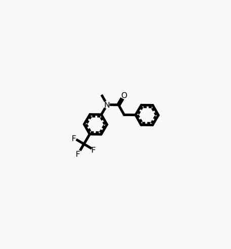 CN(C(=O)Cc1ccccc1)c1ccc(C(F)(F)F)cc1